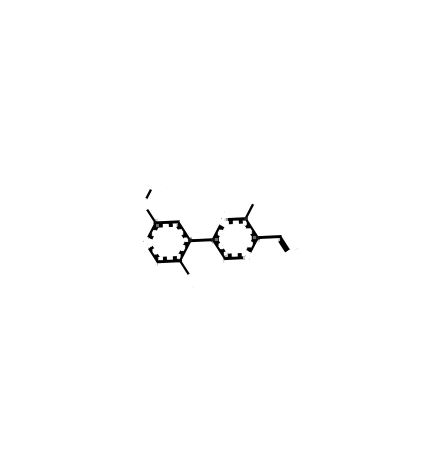 COc1cc(-c2cnc(C=O)c(C)n2)c(F)cn1